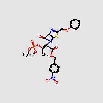 COP(=O)(OC)OC(C)=C(C(=O)OCc1ccc([N+](=O)[O-])cc1)N1C(=O)C2N=C(COc3ccccc3)SC21